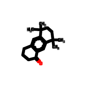 CC1(C)CCC(C)(C)c2cc3c(cc21)CCCC3=O